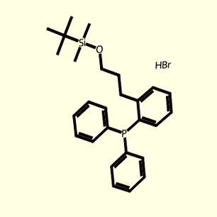 Br.CC(C)(C)[Si](C)(C)OCCCc1ccccc1P(c1ccccc1)c1ccccc1